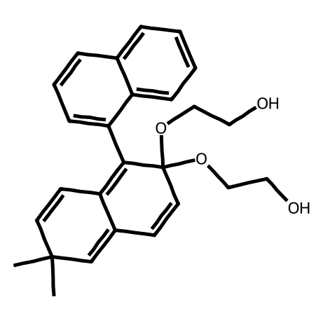 CC1(C)C=CC2=C(c3cccc4ccccc34)C(OCCO)(OCCO)C=CC2=C1